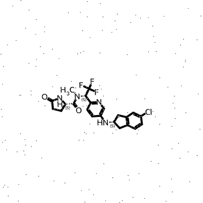 CN(C(=O)[C@@H]1CCC(=O)N1)[C@@H](c1ccc(N[C@H]2Cc3ccc(Cl)cc3C2)cn1)C(F)(F)F